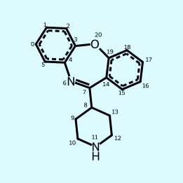 c1ccc2c(c1)N=C(C1CCNCC1)c1ccccc1O2